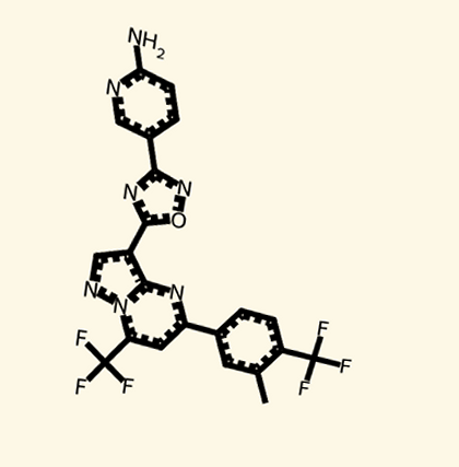 Cc1cc(-c2cc(C(F)(F)F)n3ncc(-c4nc(-c5ccc(N)nc5)no4)c3n2)ccc1C(F)(F)F